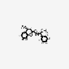 CC(=O)C(CC(=O)ONC(C)c1ccccc1)c1ccccc1